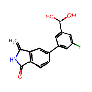 C=C1NC(=O)c2ccc(-c3cc(F)cc(B(O)O)c3)cc21